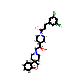 O=C(/C=C/c1cc(F)cc(F)c1)N1CCC(C(O)CN2CCC3(CC2)COc2ccccc23)CC1